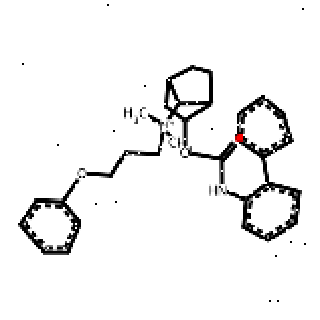 C[N+](C)(CCCOc1ccccc1)C1C2CCC1C(OC(=O)Nc1ccccc1-c1ccccc1)C2